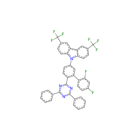 Fc1ccc(-c2cc(-n3c4ccc(C(F)(F)F)cc4c4cc(C(F)(F)F)ccc43)ccc2-c2nc(-c3ccccc3)nc(-c3ccccc3)n2)c(F)c1